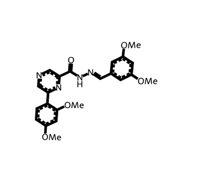 COc1cc(C=NNC(=O)c2cncc(-c3ccc(OC)cc3OC)n2)cc(OC)c1